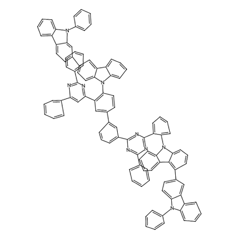 c1ccc(-c2cc(-c3cc(-c4cccc(-c5nc(-c6ccccc6)nc(-c6ccccc6-n6c7ccccc7c7c(-c8ccc9c(c8)c8ccccc8n9-c8ccccc8)cccc76)n5)c4)ccc3-n3c4ccccc4c4cc(-c5ccc6c7ccccc7n(-c7ccccc7)c6c5)ccc43)nc(-c3ccccc3)n2)cc1